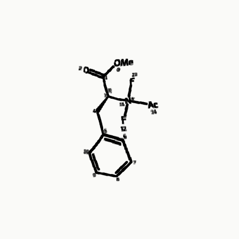 COC(=O)[C@H](Cc1ccccc1)[N+](F)(F)C(C)=O